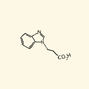 O=C(O)CCn1cnc2cc[c]cc21